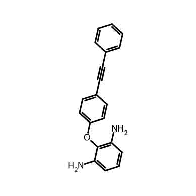 Nc1cccc(N)c1Oc1ccc(C#Cc2ccccc2)cc1